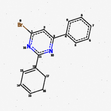 Brc1cc(-c2ccccc2)nc(C2=CC=CCC2)n1